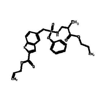 C=CCOC(=O)c1cc2cc(CP(=O)(NCC(C)C(=O)OCCC)Oc3ccccc3)ccc2s1